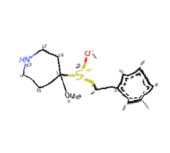 COC1([S+]([O-])Cc2ccccc2)CCNCC1